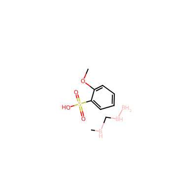 BBCBC.COc1ccccc1S(=O)(=O)O